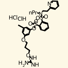 CCCN(CCc1ccccn1)S(=O)(=O)c1ccccc1S(=O)(=O)Oc1cc(C)cc(OCCCONC(=N)N)c1.Cl.Cl